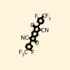 N#Cc1c(-c2ccc(C(F)(F)F)c(F)c2)c(=O)c2cc3c(C#N)c(-c4ccc(C(F)(F)F)c(F)c4)c(=O)c3cc12